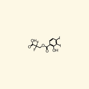 O=C(OCC(F)(F)C(=O)O)c1ccc(I)c(I)c1O